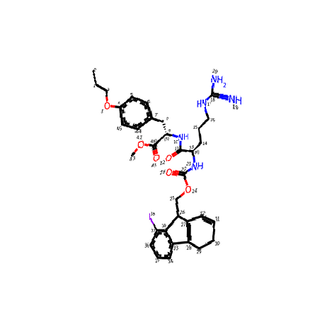 CCCOc1ccc(C[C@H](NC(=O)[C@@H](CCCNC(=N)N)NC(=O)OCC2C3=C(CCC=C3)c3cccc(I)c32)C(=O)OC)cc1